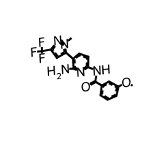 COc1cccc(C(=O)Nc2ccc(-c3cc(C(F)(F)F)nn3C)c(N)n2)c1